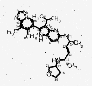 Cc1c(-c2[nH]c3ccc(N[C@@H](C)/C=C/[C@H](C)NC4CCOC4)nc3c2C(C)C)cn2ncnc2c1C